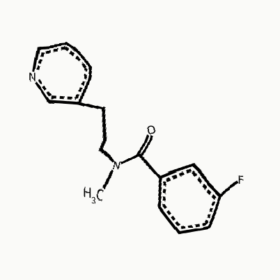 CN(CCc1cccnc1)C(=O)c1cccc(F)c1